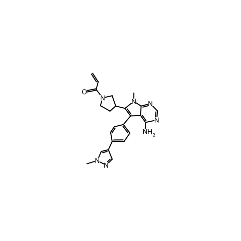 C=CC(=O)N1CCC(c2c(-c3ccc(-c4cnn(C)c4)cc3)c3c(N)ncnc3n2C)C1